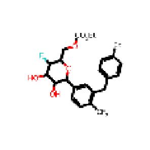 CCOC(=O)OCC1OC(c2ccc(C(F)(F)F)c(Cc3ccc(CC)cc3)c2)C(O)C(O)C1F